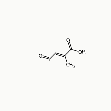 C/C(=C\[C]=O)C(=O)O